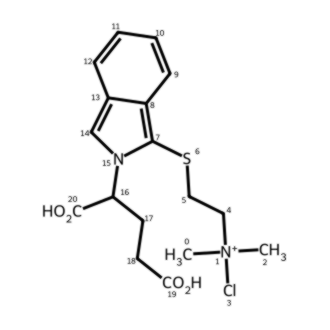 C[N+](C)(Cl)CCSc1c2ccccc2cn1C(CCC(=O)O)C(=O)O